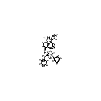 CC1=CC[CH]C(C(=O)[C@@H](N)CC(C)C)=C1C(=O)[C@H](CCc1ccccc1)NC(=O)CN1CCOCC1